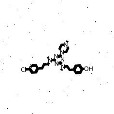 CN1CCN(c2nc(N(C)CCCc3ccc(Cl)cc3)nc(N(C)CCc3ccc(O)cc3)n2)CC1